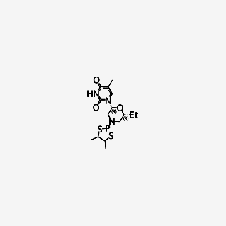 CC[C@@H]1CN(P2SC(C)C(C)S2)C[C@H](n2cc(C)c(=O)[nH]c2=O)O1